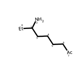 CCC(N)CCCCC(C)=O